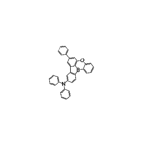 c1ccc(-c2cc3c4c(c2)-c2cc(N(c5ccccc5)c5ccccc5)ccc2B4c2ccccc2O3)cc1